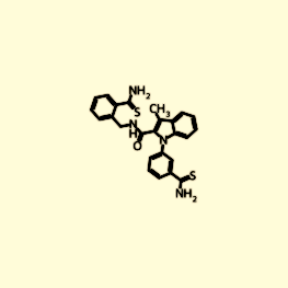 Cc1c(C(=O)NCc2ccccc2C(N)=S)n(-c2cccc(C(N)=S)c2)c2ccccc12